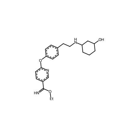 CCOC(=N)c1ccc(Oc2ccc(CCNC3CCCC(O)C3)cc2)nc1